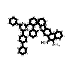 Nc1c(N)c2cc3c(cc2c2ccccc12)c1ccccc1n3-c1ccccc1-c1ccccc1-c1nc(-c2ccccc2)nc(-c2ccc(-c3ccccc3)cc2)n1